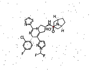 O=C(N[C@H]1CC2=C(c3ccn(C(F)F)n3)[C@H](c3ccc(F)cc3Cl)N=C(c3nccs3)N2C1)N1[C@@H]2CC[C@H]1C[C@H](O)C2